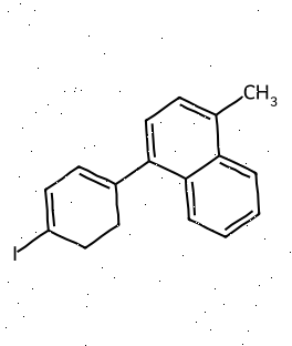 Cc1ccc(C2=CC=C(I)CC2)c2ccccc12